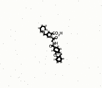 O=C(NCC(=O)N1CC(CN2CCCCC2)C[C@H]1C(=O)O)c1ccc2c(c1)Oc1ccccc1S2